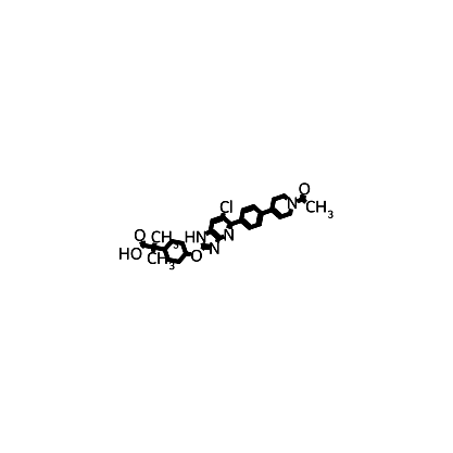 CC(=O)N1CC=C(c2ccc(-c3nc4nc(OC5CCC(C(C)(C)C(=O)O)CC5)[nH]c4cc3Cl)cc2)CC1